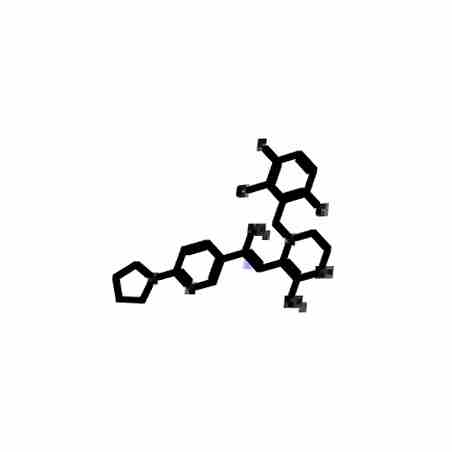 NC1=C(/C=C(\N)c2ccc(N3CCCC3)nc2)N(Cc2c(Cl)ccc(F)c2Cl)CCN1